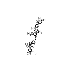 C[C@@H]1C[C@H](OCC[C@H]2CC[C@H](N3C(=S)N(c4ccc(C#N)c(C(F)(F)F)c4)C(=O)C3(C)C)CC2)C[C@H](C)N1CC(=O)Nc1ccc(C2CCC(O)NC2=O)cc1